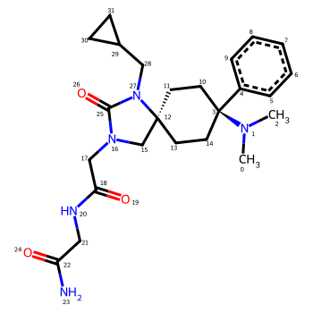 CN(C)[C@]1(c2ccccc2)CC[C@]2(CC1)CN(CC(=O)NCC(N)=O)C(=O)N2CC1CC1